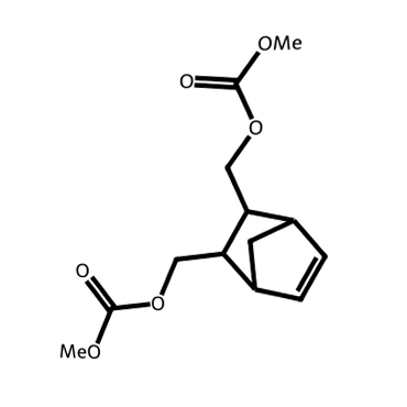 COC(=O)OCC1C2C=CC(C2)C1COC(=O)OC